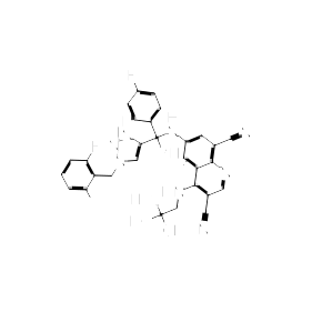 BC(Nc1cc(C#N)c2ncc(C#N)c(NCC(C)(C)C)c2c1)(C1=CN(Cc2c(F)cccc2F)NN1)c1ccc(F)cc1